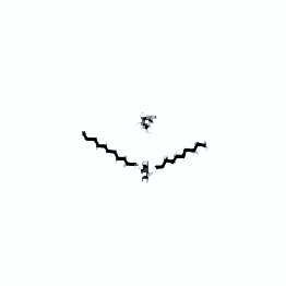 CCCCCCCCCCCCOS(=O)(=O)OCCCCCCCCCCC.O=S(=O)(O)O